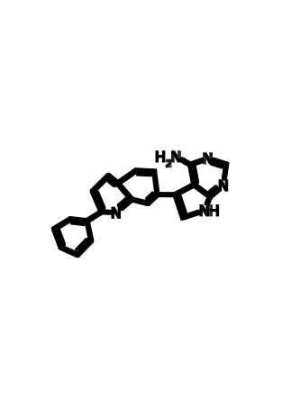 Nc1ncnc2[nH]cc(-c3ccc4ccc(-c5ccccc5)nc4c3)c12